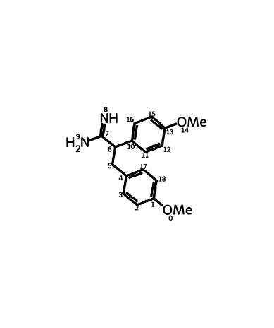 COc1ccc(CC(C(=N)N)c2ccc(OC)cc2)cc1